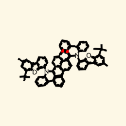 Cc1cc(C(C)(C)C)c2oc3c(N(c4ccccc4-c4ccccc4)c4ccc5ccc6c(N(c7ccccc7-c7ccccc7)c7cccc8c7oc7c(C(C)(C)C)cc(C)cc78)ccc7ccc4c5c76)cccc3c2c1